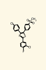 CS(=O)(=O)c1ccc(-c2sc(-c3ccc(F)c(Cl)c3)nc2-c2ccc(Cl)cc2)cc1